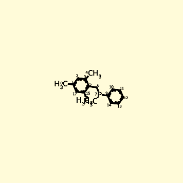 Cc1cc(C)c(CP(C)c2ccccc2)c(C)c1